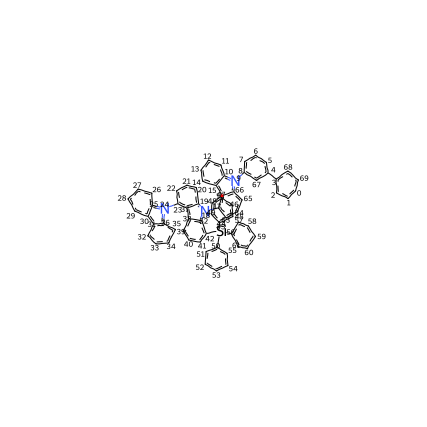 c1ccc(-c2cccc(-n3c4ccccc4c4c(-n5c6cccc(-n7c8ccccc8c8ccccc87)c6c6cccc([Si](c7ccccc7)(c7ccccc7)c7ccccc7)c65)cccc43)c2)cc1